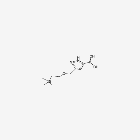 C[Si](C)(C)CCOCc1cc(B(O)O)[nH]n1